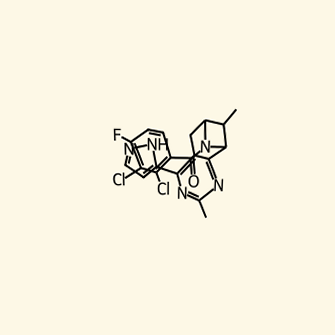 Cc1nc(-c2ccn[nH]2)c2c(n1)C1C(C)C(C2)N1C(=O)c1ccc(F)c(Cl)c1Cl